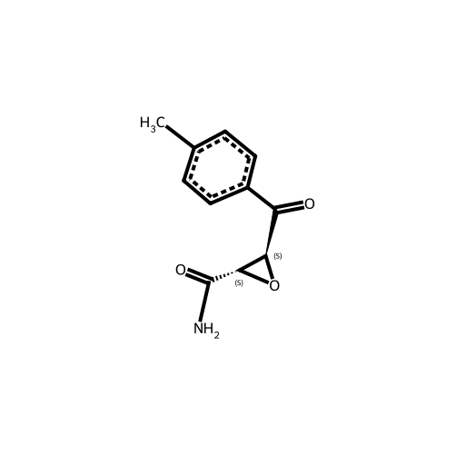 Cc1ccc(C(=O)[C@H]2O[C@@H]2C(N)=O)cc1